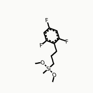 CO[Si](C)(CCCc1c(F)cc(F)cc1F)OC